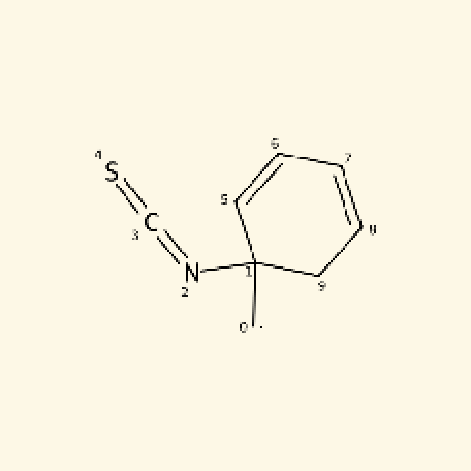 [CH2]C1(N=C=S)C=CC=CC1